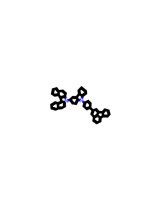 c1ccc2c(c1)-c1cccc3cc(-c4ccc(-n5c6ccccc6c6cc(-n7c8ccc9ccccc9c8c8c9ccccc9ccc87)ccc65)cc4)cc-2c13